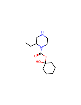 CCC1CNCCN1C(=O)OC1(O)CCCCC1